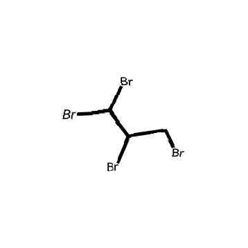 BrCC(Br)C(Br)Br